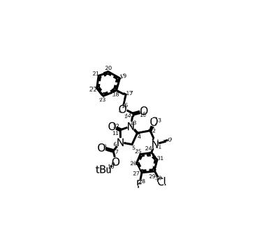 CN(C(=O)C1CN(C(=O)OC(C)(C)C)C(=O)N1C(=O)OCc1ccccc1)c1ccc(F)c(Cl)c1